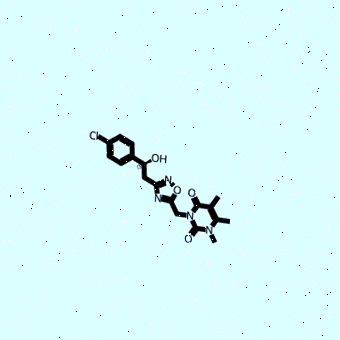 Cc1c(C)n(C)c(=O)n(Cc2nc(C[C@H](O)c3ccc(Cl)cc3)no2)c1=O